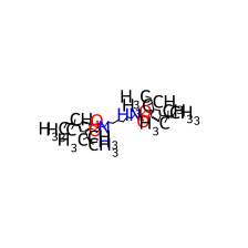 CCC(C)(C)c1ccc(OC(=O)NCCCCCCNC(=O)Oc2ccc(C(C)(C)CC)cc2C(C)(C)CC)c(C(C)(C)CC)c1